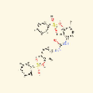 Cc1ccc(NC(=O)Nc2cccc(OS(=O)(=O)c3ccccc3)c2)cc1OS(=O)(=O)c1ccccc1